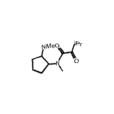 CNC1CCCC1N(C)C(=O)C(=O)C(C)C